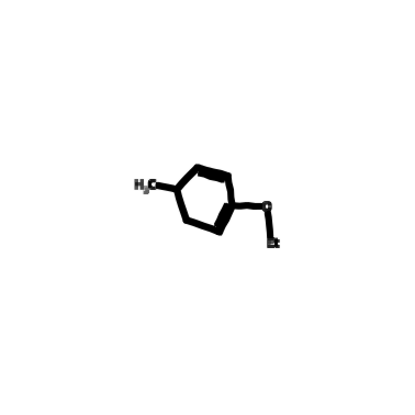 CCOC1=CCC(C)C=C1